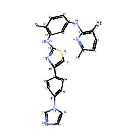 CCc1ccc(C)nc1Nc1ccc(C)c(Nc2nc(-c3ccc(-n4ccnc4)cc3)cs2)c1